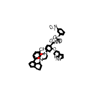 O=C(NS(=O)(=O)c1cccc([N+](=O)[O-])c1)c1ccc(N2CCN(C3CCCc4cccc(-c5ccc(Cl)cc5)c43)CC2)cc1Oc1cnc2[nH]ccc2c1